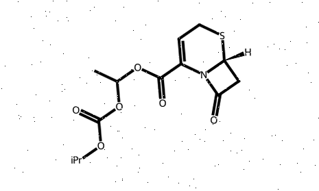 CC(C)OC(=O)OC(C)OC(=O)C1=CCS[C@@H]2CC(=O)N12